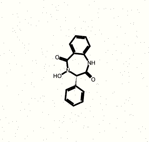 O=C1Nc2ccccc2C(=O)N(O)[C@H]1c1ccccc1